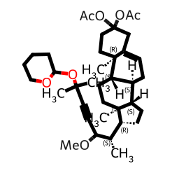 COC(C#CC(C)(C)OC1CCCCO1)[C@@H](C)[C@H]1CC[C@H]2[C@@H]3CC=C4CC(OC(C)=O)(OC(C)=O)CC[C@]4(C)[C@H]3CC[C@]12C